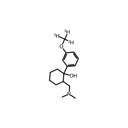 [2H]C([2H])([2H])Oc1cccc(C2(O)CCCCC2CN(C)C)c1